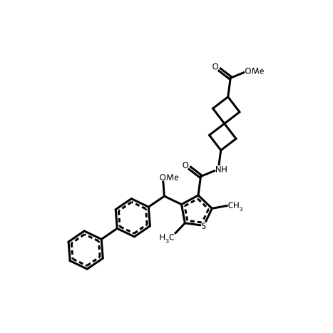 COC(=O)C1CC2(CC(NC(=O)c3c(C)sc(C)c3C(OC)c3ccc(-c4ccccc4)cc3)C2)C1